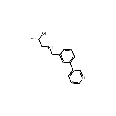 C[C@H](O)CNCc1cccc(-c2cccnc2)c1